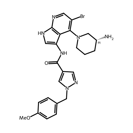 COc1ccc(Cn2cc(C(=O)Nc3c[nH]c4ncc(Br)c(N5CCC[C@@H](N)C5)c34)cn2)cc1